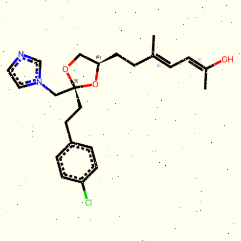 C/C(O)=C\C=C(/C)CC[C@@H]1CO[C@@](CCc2ccc(Cl)cc2)(Cn2ccnc2)O1